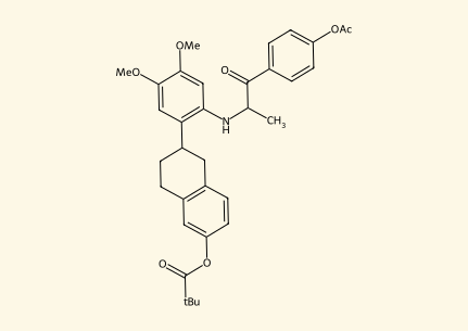 COc1cc(NC(C)C(=O)c2ccc(OC(C)=O)cc2)c(C2CCc3cc(OC(=O)C(C)(C)C)ccc3C2)cc1OC